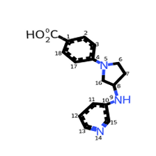 O=C(O)c1ccc(N2CCC(Nc3cccnc3)C2)cc1